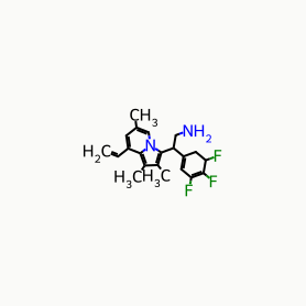 C=Cc1cc(C)cn2c(C(CN)C3=CC(F)=C(F)C(F)C3)c(C)c(C)c12